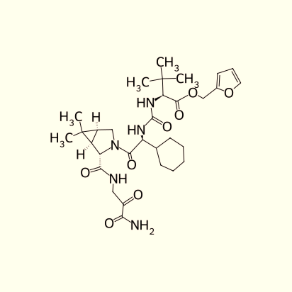 CC(C)(C)[C@H](NC(=O)N[C@H](C(=O)N1C[C@H]2[C@@H]([C@H]1C(=O)NCC(=O)C(N)=O)C2(C)C)C1CCCCC1)C(=O)OCc1ccco1